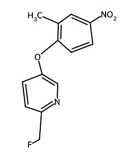 Cc1cc([N+](=O)[O-])ccc1Oc1ccc(CF)nc1